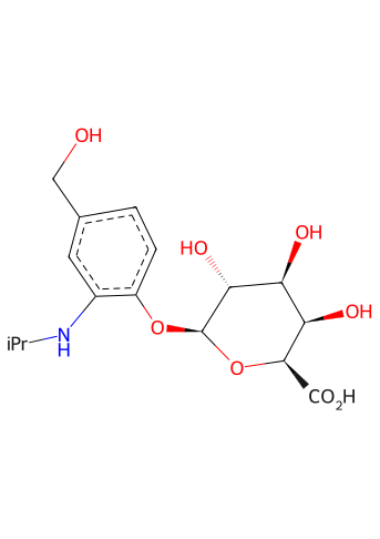 CC(C)Nc1cc(CO)ccc1O[C@@H]1O[C@H](C(=O)O)[C@H](O)[C@H](O)[C@H]1O